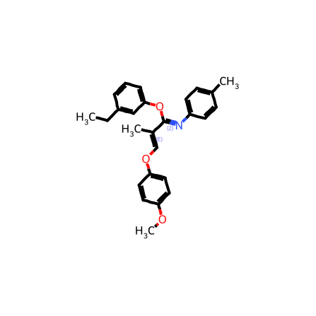 CCc1cccc(OC(=N\c2ccc(C)cc2)/C(C)=C/Oc2ccc(OC)cc2)c1